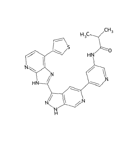 CC(C)C(=O)Nc1cncc(-c2cc3c(-c4nc5c(-c6ccsc6)ccnc5[nH]4)n[nH]c3cn2)c1